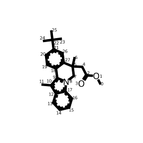 COC(=O)CC1(C)Cn2c(c(C)c3ccccc32)-c2ccc(C(C)(C)C)cc21